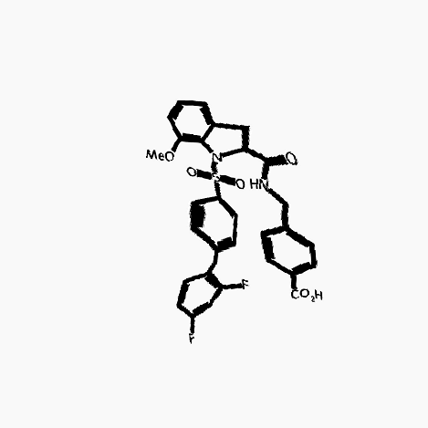 COc1cccc2c1N(S(=O)(=O)c1ccc(-c3ccc(F)cc3F)cc1)C(C(=O)NCc1ccc(C(=O)O)cc1)C2